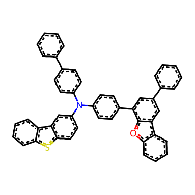 c1ccc(-c2ccc(N(c3ccc(-c4cc(-c5ccccc5)cc5c4oc4ccccc45)cc3)c3ccc4sc5ccccc5c4c3)cc2)cc1